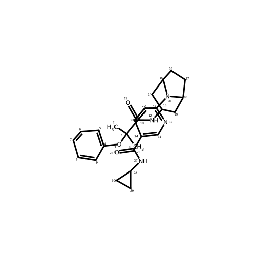 CC(C)(Oc1ccccc1)C(=O)NC1CC2CCC(C1)N2c1ccc(C(=O)NC2CC2)cn1